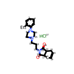 CCc1ccccc1N1CCN(CCCN2C(=O)C3CC=CCC3C2=O)CC1.Cl